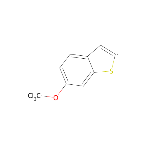 ClC(Cl)(Cl)Oc1ccc2c[c]sc2c1